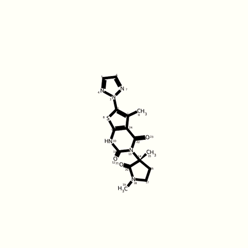 Cc1c(-n2nccn2)sc2[nH]c(=O)n([C@]3(C)CCN(C)C3=O)c(=O)c12